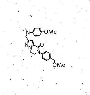 COCc1ccc(N2CCn3nc(CN(C)c4ccc(OC)cc4)cc3C2=O)cc1